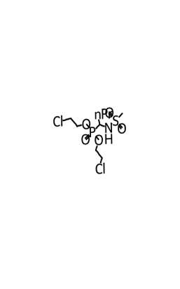 CCCC(NS(C)(=O)=O)P(=O)(OCCCl)OCCCl